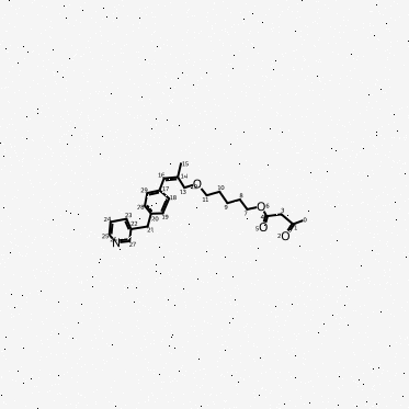 CC(=O)CC(=O)OCCCCCOCC(C)=Cc1ccc(Cc2cccnc2)cc1